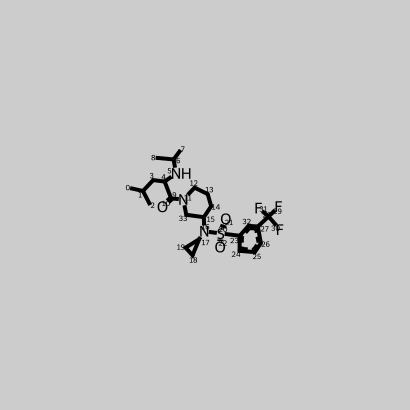 CC(C)CC(NC(C)C)C(=O)N1CCCC(N(C2CC2)S(=O)(=O)c2cccc(C(F)(F)F)c2)C1